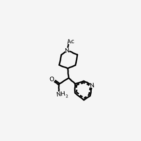 CC(=O)N1CCC(C(C(N)=O)c2cccnc2)CC1